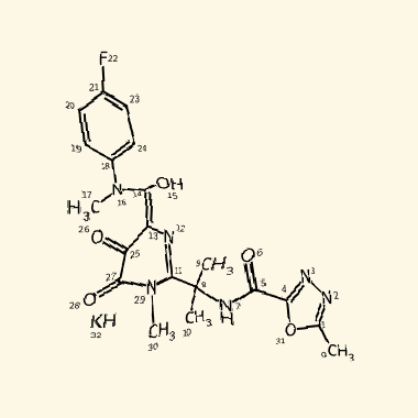 Cc1nnc(C(=O)NC(C)(C)C2=N/C(=C(\O)N(C)c3ccc(F)cc3)C(=O)C(=O)N2C)o1.[KH]